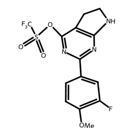 COc1ccc(-c2nc3c(c(OS(=O)(=O)C(F)(F)F)n2)CCN3)cc1F